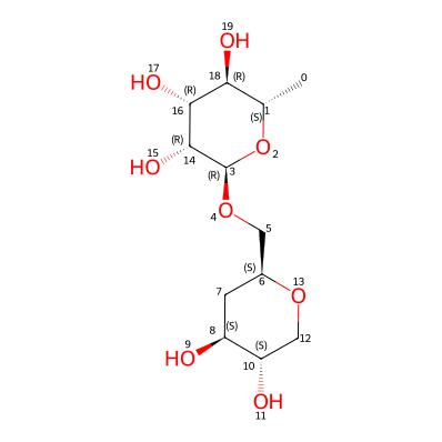 C[C@@H]1O[C@@H](OC[C@@H]2C[C@H](O)[C@@H](O)CO2)[C@H](O)[C@H](O)[C@H]1O